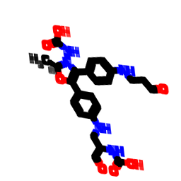 C[C@@H]1OC(c2ccc(NCC(C=O)NC(=O)O)cc2)=C(c2ccc(NCCC=O)cc2)N1NC(=O)O